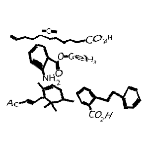 C=C=C.C=CCCCCCCCCC(=O)O.CC(=O)/C=C/C1C(C)=CCC(C)C1(C)C.Nc1ccccc1C(=O)[O][GeH3].O=C(O)c1ccccc1CCc1ccccc1